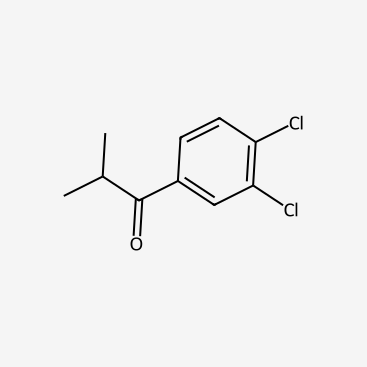 CC(C)C(=O)c1ccc(Cl)c(Cl)c1